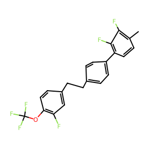 Cc1ccc(-c2ccc(CCc3ccc(OC(F)(F)F)c(F)c3)cc2)c(F)c1F